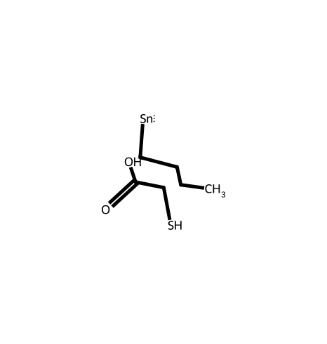 CCC[CH2][Sn].O=C(O)CS